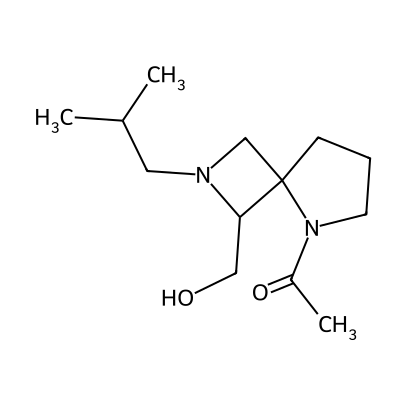 CC(=O)N1CCCC12CN(CC(C)C)C2CO